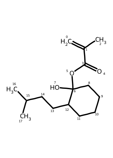 C=C(C)C(=O)OC1(O)CCCCC1CCC(C)C